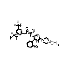 CN1CCN(c2ncc(OC(=O)N(C)Cc3cc(C(F)(F)F)cc(C(F)(F)F)c3)c(-c3ccccc3Br)n2)CC1